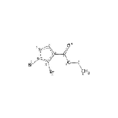 CCOC(=O)c1csc(Br)c1Br